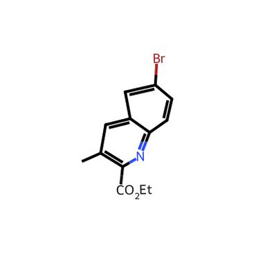 CCOC(=O)c1nc2ccc(Br)cc2cc1C